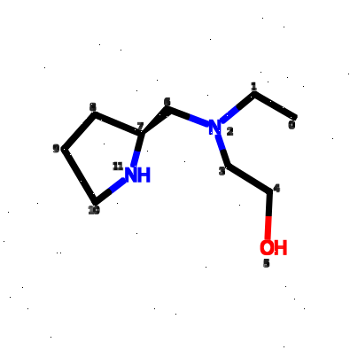 CCN(CCO)C[C@@H]1CCCN1